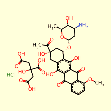 COc1cccc2c1C(=O)c1c(O)c3c(c(O)c1C2=O)C[C@@](O)(C(C)=O)C[C@@H]3O[C@H]1C[C@H](N)[C@H](O)[C@H](C)O1.Cl.O=C(O)CC(O)(CC(=O)O)C(=O)O